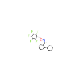 Fc1c(F)c(F)c(CO/N=[C]\c2ccccc2C2CCCCC2)c(F)c1F